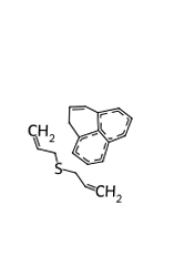 C1=Cc2cccc3cccc(c23)C1.C=CCSCC=C